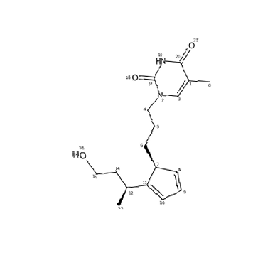 Cc1cn(CCC[C@H]2C=CC=C2[C@@H](C)CCO)c(=O)[nH]c1=O